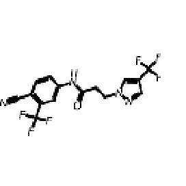 N#Cc1ccc(NC(=O)CCn2cc(C(F)(F)F)cn2)cc1C(F)(F)F